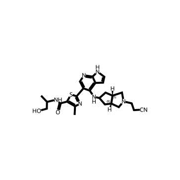 Cc1nc(-c2cnc3[nH]ccc3c2NC2C[C@@H]3CN(CCC#N)C[C@@H]3C2)sc1C(=O)NC(C)CO